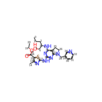 CCCC(CO)Nc1nc(Nc2nc(C)c(C(=O)OCC)s2)nc2c1CCN2Cc1cccnc1